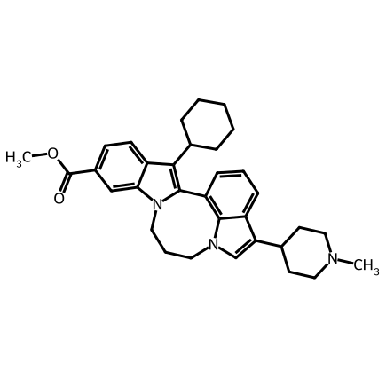 COC(=O)c1ccc2c(C3CCCCC3)c3n(c2c1)CCCn1cc(C2CCN(C)CC2)c2cccc-3c21